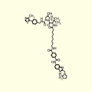 Cc1ncsc1-c1ccc(CNC(=O)[C@@H]2C[C@@H](O)CN2C(=O)[C@@H](NC(=O)CCCCCCCCNC(=O)c2ccc(C(=O)Nc3ccc4[nH]c(CN5CCC[C@@H]5C)nc4c3)cc2)C(C)(C)C)cc1